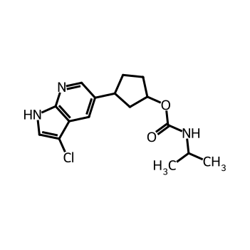 CC(C)NC(=O)OC1CCC(c2cnc3[nH]cc(Cl)c3c2)C1